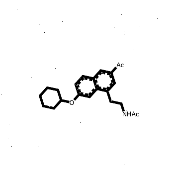 CC(=O)NCCc1cc(C(C)=O)cc2ccc(OC3CCCCC3)cc12